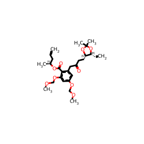 C=CC[C@H](C)OC(=O)c1c(CC(=O)CC[C@@H]2OC(C)(C)O[C@@H]2C=C)cc(OCOC)cc1OCOC